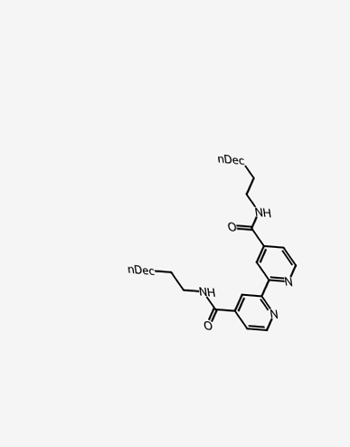 CCCCCCCCCCCCNC(=O)c1ccnc(-c2cc(C(=O)NCCCCCCCCCCCC)ccn2)c1